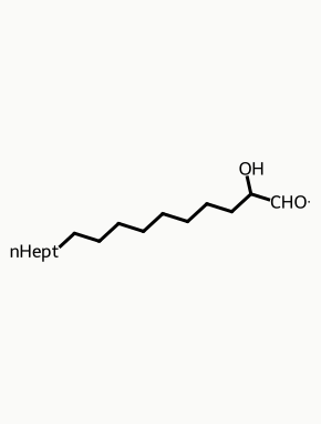 CCCCCCCCCCCCCCCC(O)[C]=O